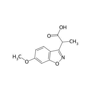 COc1ccc2c(C(C)C(=O)O)noc2c1